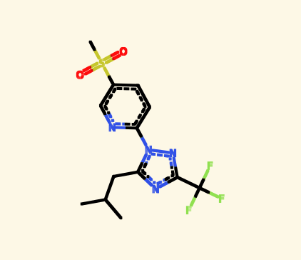 CC(C)Cc1nc(C(F)(F)F)nn1-c1ccc(S(C)(=O)=O)cn1